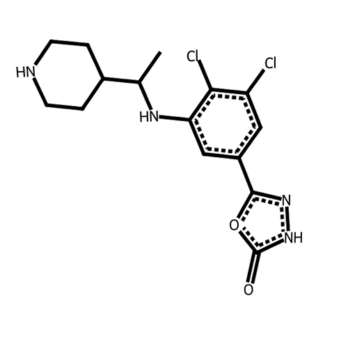 CC(Nc1cc(-c2n[nH]c(=O)o2)cc(Cl)c1Cl)C1CCNCC1